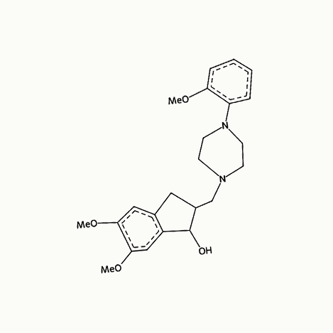 COc1cc2c(cc1OC)C(O)C(CN1CCN(c3ccccc3OC)CC1)C2